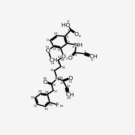 C#CC(=O)Nc1c(C(=O)O)ccc(OC)c1OCCCN(C(=O)C#C)C(=O)Cc1ccccc1F